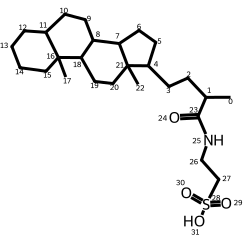 CC(CCC1CCC2C3CCC4CCCCC4(C)C3CCC12C)C(=O)NCCS(=O)(=O)O